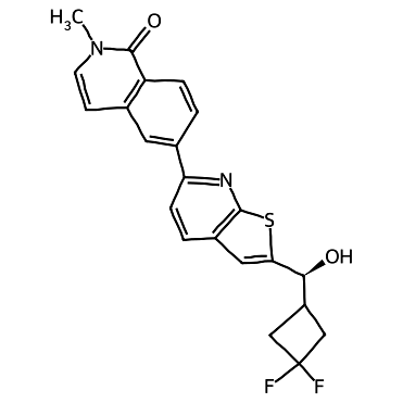 Cn1ccc2cc(-c3ccc4cc([C@@H](O)C5CC(F)(F)C5)sc4n3)ccc2c1=O